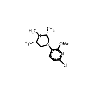 COc1nc(Cl)ccc1N1C[C@@H](C)N(C)[C@@H](C)C1